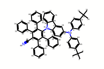 CC(C)(C)c1ccc(N(c2ccc(C(C)(C)C)cc2)c2ccc3c(c2)c2ccccc2n3-c2c(-c3ccccc3)c(-c3ccccc3)c(C#N)c(-c3ccccc3)c2-c2ccccc2)cc1